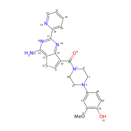 COc1cc(N2CCN(C(=O)c3csc4c(N)nc(-c5ccccn5)nc34)CC2)ccc1O